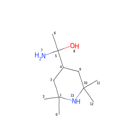 CC1(C)CC(C(C)(N)O)CC(C)(C)N1